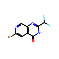 O=c1[nH]c(C(F)F)nc2cnc(Br)cc12